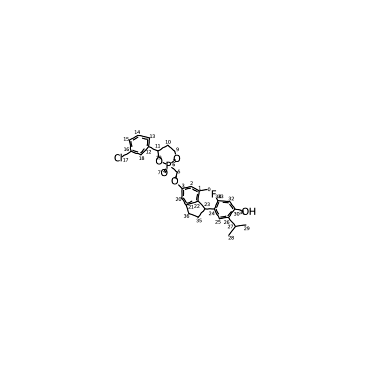 Cc1cc(OCP2(=O)OCCC(c3cccc(Cl)c3)O2)cc2c1C(c1cc(C(C)C)c(O)cc1F)CC2